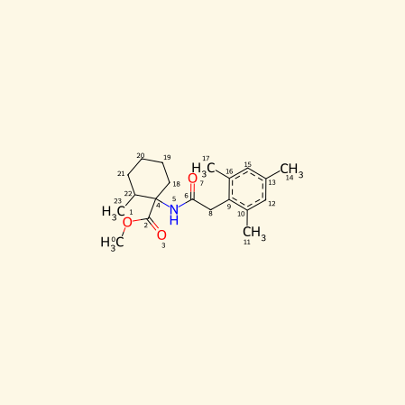 COC(=O)C1(NC(=O)Cc2c(C)cc(C)cc2C)CCCCC1C